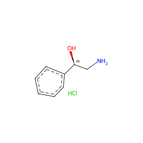 Cl.NC[C@H](O)c1ccccc1